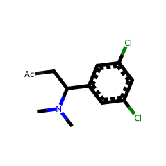 CC(=O)CC(c1cc(Cl)cc(Cl)c1)N(C)C